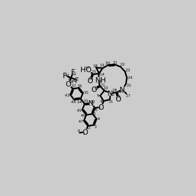 COc1ccc2c(OC3CC4C(=O)NC5(C(=O)O)CC5C=CCCCCN(C)C(=O)N4C3)nc(-c3ccc(OC(F)(F)F)cc3)cc2c1